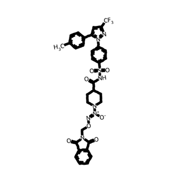 Cc1ccc(-c2cc(C(F)(F)F)nn2-c2ccc(S(=O)(=O)NC(=O)C3CCN(/[N+]([O-])=N/OCN4C(=O)c5ccccc5C4=O)CC3)cc2)cc1